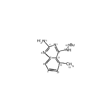 CCCCNc1nc(N)nc2cccc(C)c12